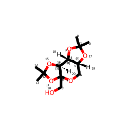 CC1(C)O[C@@H]2[C@@H](COC3(CO)OC(C)(C)O[C@@H]23)O1